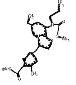 C=Cc1cc(N(CCC(F)(F)F)C(=O)OC(C)(C)C)c2ncc(-c3ccc(C(=O)OC)c(C)c3)n2c1